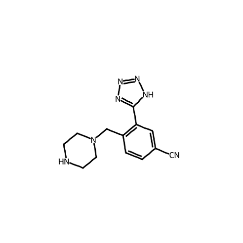 N#Cc1ccc(CN2CCNCC2)c(-c2nnn[nH]2)c1